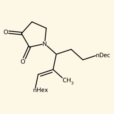 CCCCCCC=C(C)C(CCCCCCCCCCCC)N1CCC(=O)C1=O